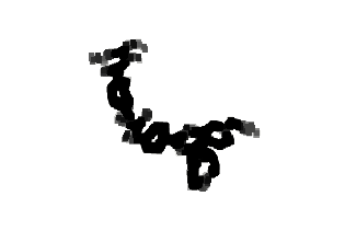 CCN1CCc2c(nc(-c3ccc(NC(=O)Nc4ccc(C(=O)NC(C)C)cc4)cc3)nc2N2C3CCC2COC3)C1